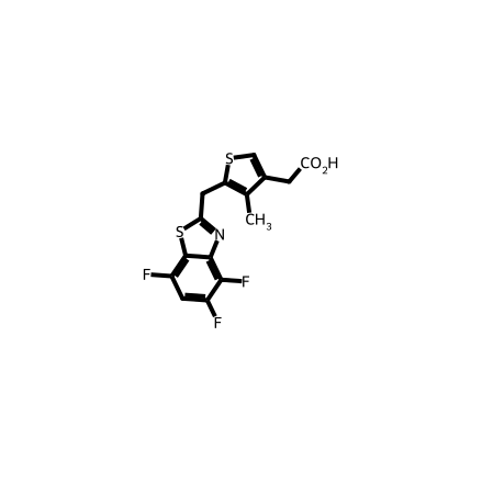 Cc1c(CC(=O)O)csc1Cc1nc2c(F)c(F)cc(F)c2s1